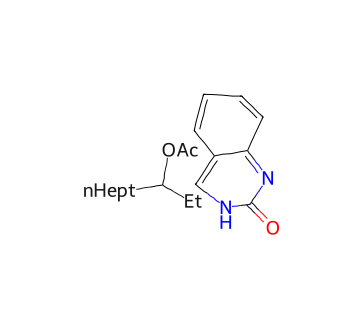 CCCCCCCC(CC)OC(C)=O.O=c1nc2ccccc2c[nH]1